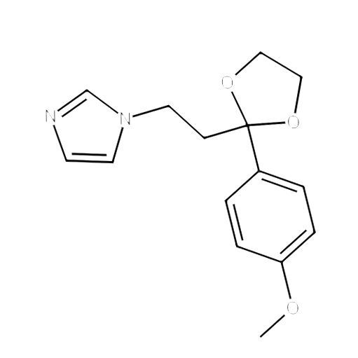 COc1ccc(C2(CCn3ccnc3)OCCO2)cc1